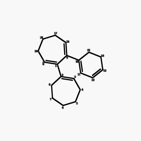 [C]1=C(C2=CCCCCC2)C(C2=CC=CCC2)=CCCC1